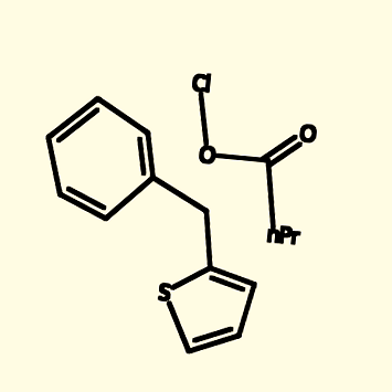 CCCC(=O)OCl.c1ccc(Cc2cccs2)cc1